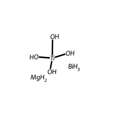 [BiH3].[MgH2].[OH][Ti]([OH])([OH])[OH]